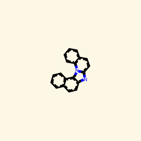 c1ccc2c(c1)ccc1nc3ccc4ccccc4n3c12